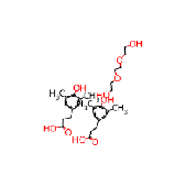 Cc1cc(CCC(=O)O)cc(C)c1O.Cc1cc(CCC(=O)O)cc(C)c1O.OCCOCCOCCO